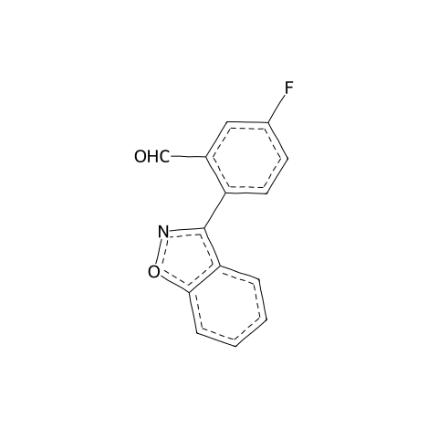 O=Cc1cc(F)ccc1-c1noc2ccccc12